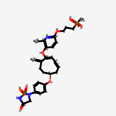 C=C1CC[C@@H](Oc2ccc(N3CC(=O)NS3(=O)=O)cc2)C/C=C\C=C/1Oc1ccc(OCCCS(C)(=O)=O)nc1C